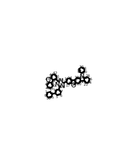 c1ccc(-c2cccc(-c3nc(-c4ccc5c(c4)oc4cc6c7ccccc7n(-c7ccccc7)c6cc45)nc(-c4cccc5oc6ccccc6c45)n3)c2)cc1